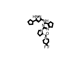 O=C([C@@H]1CCCN1c1nc2c(c(Nc3cc(C4CCCC4)[nH]n3)n1)CCC2)N1CCC(F)(F)CC1